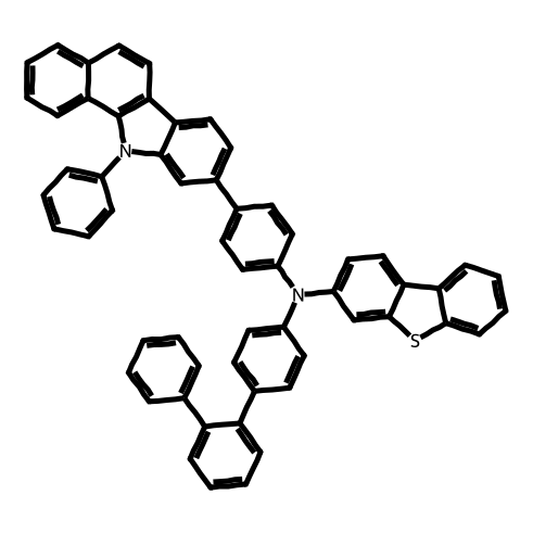 c1ccc(-c2ccccc2-c2ccc(N(c3ccc(-c4ccc5c6ccc7ccccc7c6n(-c6ccccc6)c5c4)cc3)c3ccc4c(c3)sc3ccccc34)cc2)cc1